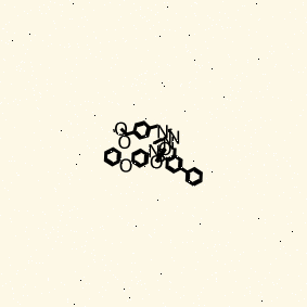 COC(=O)c1ccc(Cn2cnnc2CN(c2ccc(Oc3ccccc3)cc2)S(=O)(=O)c2ccc(-c3ccccc3)cc2C)cc1